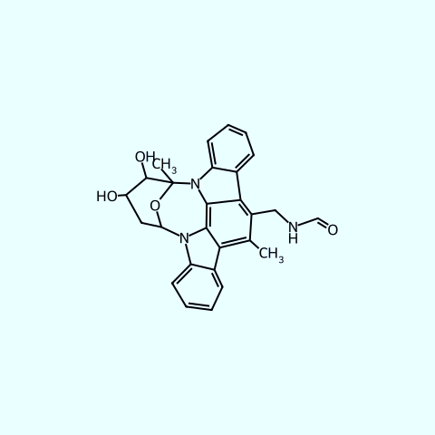 Cc1c(CNC=O)c2c3ccccc3n3c2c2c1c1ccccc1n2C1CC(O)C(O)C3(C)O1